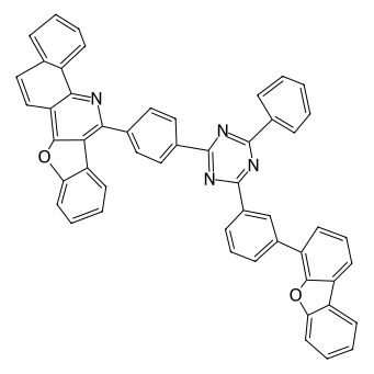 c1ccc(-c2nc(-c3ccc(-c4nc5c6ccccc6ccc5c5oc6ccccc6c45)cc3)nc(-c3cccc(-c4cccc5c4oc4ccccc45)c3)n2)cc1